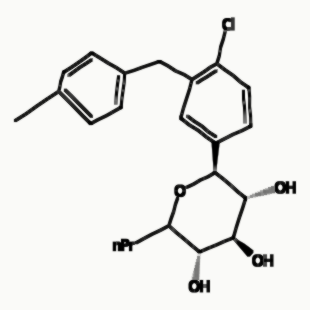 CCCC1O[C@@H](c2ccc(Cl)c(Cc3ccc(C)cc3)c2)[C@H](O)[C@@H](O)[C@@H]1O